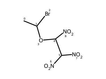 CC(Br)OC(C([N+](=O)[O-])[N+](=O)[O-])[N+](=O)[O-]